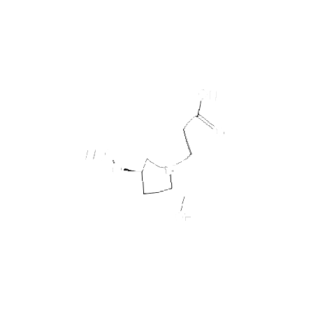 CO[C@@H]1C[C@@H](CO)N(CCC(=O)O)C1